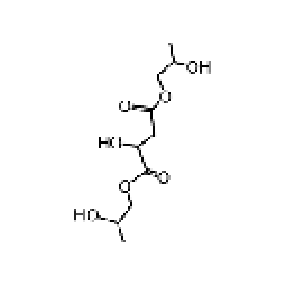 CC(O)COC(=O)CC(O)C(=O)OCC(C)O